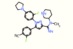 CN(C(=N)c1cc(-c2ccc(C#N)c(F)c2)n(-c2ccc(N3CCCC3)cc2F)n1)C1CCCNC1